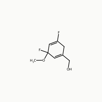 COC1(F)C=C(F)CC(CO)=C1